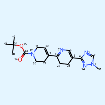 Cn1cnc(C2=CN=C(C3=CCN(C(=O)OC(C)(C)C)CC3)CC2)n1